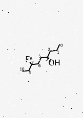 CCCC(O)CCC(F)CC